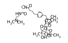 CC(=O)O[C@H]1C[C@]2(C(C)(C)O)CO[C@@](c3ccc(C)c(Cc4ccc(CCCC(=O)N5CC[C@H]5C(=O)NCCN(C)C)cc4)c3)(O2)[C@@H]1OC(C)=O